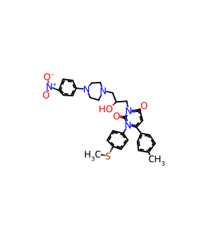 CSc1ccc(-n2c(-c3ccc(C)cc3)cc(=O)n(CC(O)CN3CCN(c4ccc([N+](=O)[O-])cc4)CC3)c2=O)cc1